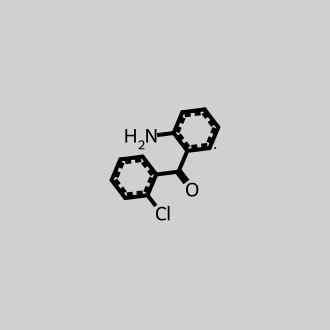 Nc1ccc[c]c1C(=O)c1ccccc1Cl